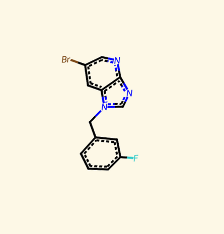 Fc1cccc(Cn2cnc3ncc(Br)cc32)c1